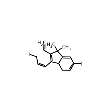 C=CC1=C(/C=C\CI)C2CC=C(I)C=C2C1(C)C